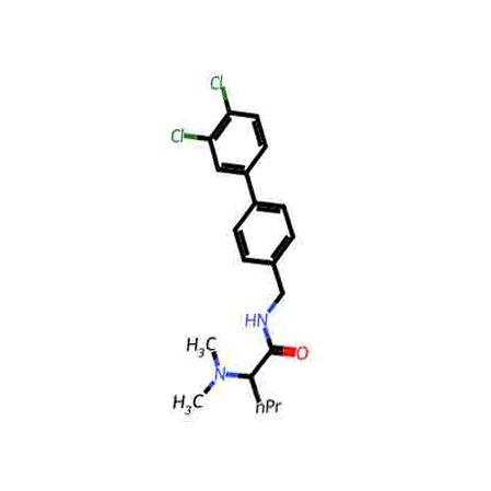 CCCC(C(=O)NCc1ccc(-c2ccc(Cl)c(Cl)c2)cc1)N(C)C